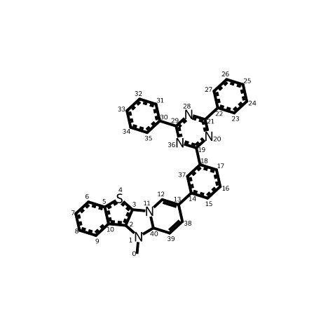 CN1c2c(sc3ccccc23)N2C=C(c3cccc(-c4nc(-c5ccccc5)nc(-c5ccccc5)n4)c3)C=CC12